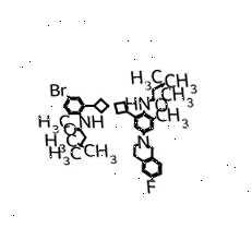 Cc1cc(Br)cc(C2CCC2)c1NC(=O)CC(C)(C)C.Cc1cc(N2CCc3cc(F)ccc3C2)cc(C2CCC2)c1NC(=O)CC(C)(C)C